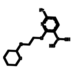 CC(C)c1ccc(B(O)O)c(OCCOC2CCCCO2)n1